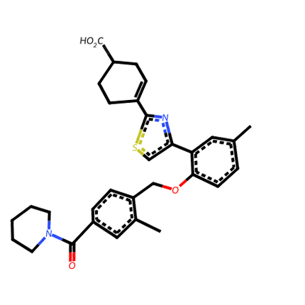 Cc1ccc(OCc2ccc(C(=O)N3CCCCC3)cc2C)c(-c2csc(C3=CCC(C(=O)O)CC3)n2)c1